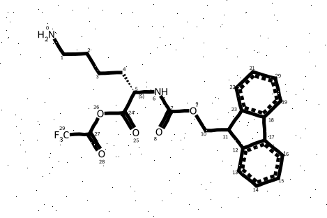 NCCCC[C@H](NC(=O)OCC1c2ccccc2-c2ccccc21)C(=O)OC(=O)C(F)(F)F